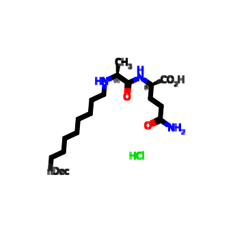 CCCCCCCCCCCCCCCCCCN[C@@H](C)C(=O)N[C@H](CCC(N)=O)C(=O)O.Cl